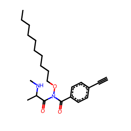 C#Cc1ccc(C(=O)N(OCCCCCCCCCC)C(=O)C(C)NC)cc1